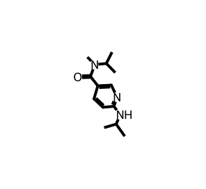 CC(C)Nc1ccc(C(=O)N(C)C(C)C)cn1